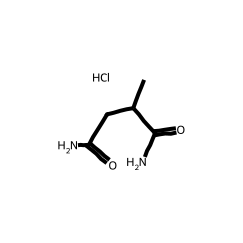 CC(CC(N)=O)C(N)=O.Cl